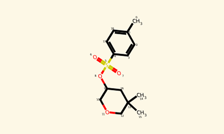 Cc1ccc(S(=O)(=O)OC2COCC(C)(C)C2)cc1